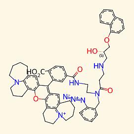 [N-]=[N+]=Nc1ccccc1CN(CCNC(=O)c1ccc(C(=O)O)c(C2=c3cc4c5c(c3Oc3c2cc2c6c3CCCN6CCCC2)CCC[N+]=5CCCC4)c1)C(=O)CCNC[C@H](O)COc1cccc2ccccc12